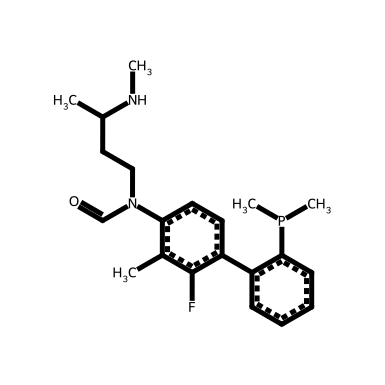 CNC(C)CCN(C=O)c1ccc(-c2ccccc2P(C)C)c(F)c1C